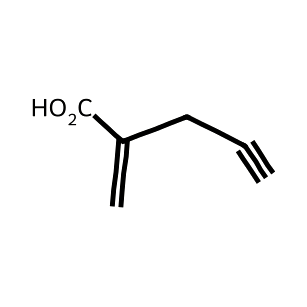 C#CCC(=C)C(=O)O